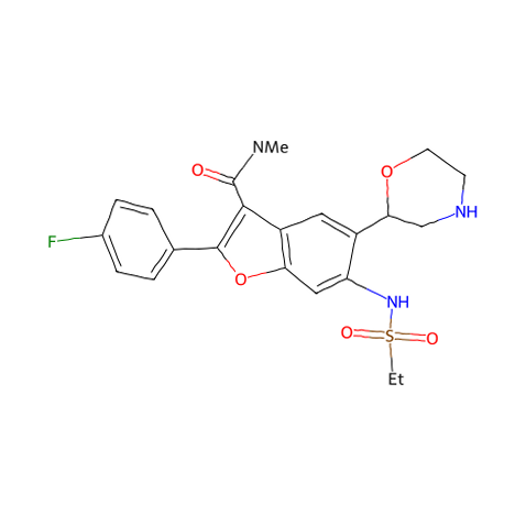 CCS(=O)(=O)Nc1cc2oc(-c3ccc(F)cc3)c(C(=O)NC)c2cc1C1CNCCO1